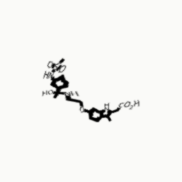 Cc1c(CC(=O)O)[nH]c2cc(OCCNC(C)(O)c3cccc(NS(C)(=O)=O)c3)ccc12